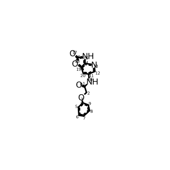 O=C(COc1ccccc1)Nc1cnc2[nH]c(=O)oc2c1